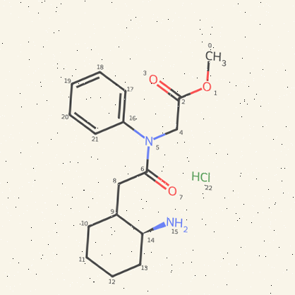 COC(=O)CN(C(=O)CC1CCCC[C@@H]1N)c1ccccc1.Cl